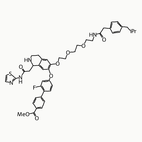 COC(=O)c1ccc(-c2ccc(Oc3cc4c(cc3OCCOCCOCCNC(=O)Cc3ccc(CC(C)C)cc3)CCNC4CC(=O)Nc3nccs3)cc2F)cc1